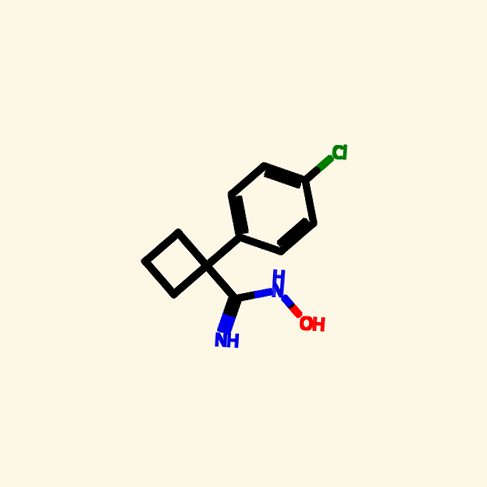 N=C(NO)C1(c2ccc(Cl)cc2)CCC1